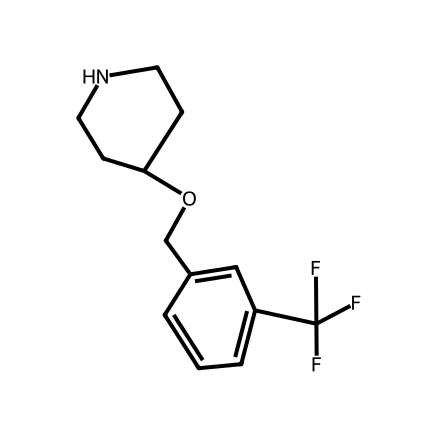 FC(F)(F)c1cccc(COC2CCNCC2)c1